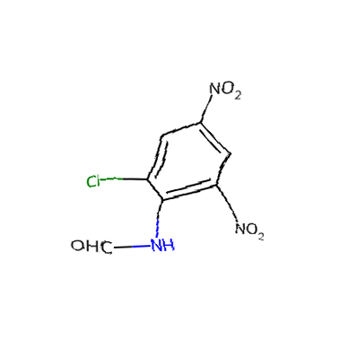 O=CNc1c(Cl)cc([N+](=O)[O-])cc1[N+](=O)[O-]